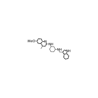 COc1ccc2nc(NC3CCCC(NCc4c[nH]c5ccccc45)C3)cc(C)c2c1